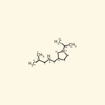 CC(C)CNCC1CCN(C(C)C)C1